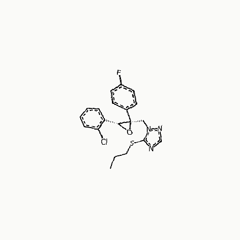 CCCSc1ncnn1C[C@]1(c2ccc(F)cc2)O[C@@H]1c1ccccc1Cl